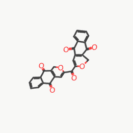 O=C(C1=CC2=C(CO1)C(=O)c1ccccc1C2=O)C1=CC2=C(CO1)C(=O)c1ccccc1C2=O